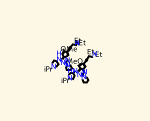 CCN(CC)CCC#Cc1cc2nc(N3CCCCC3)nc(NC3CCN(C(C)C)CC3)c2cc1OC.CCN(CC)CCC#Cc1cc2nc(N3CCCCC3)nc(NC3CCN(C(C)C)CC3)c2cc1OC